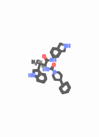 C[C@@H](c1c[nH]c2ccccc12)[C@@H](NC(=O)N1CCC(c2ccccc2)CC1)C(=O)Nc1ccc2c(c1)CNC2